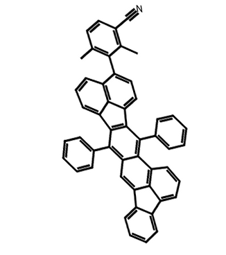 Cc1ccc(C#N)c(C)c1-c1ccc2c3c(-c4ccccc4)c4c(cc5c6ccccc6c6cccc4c65)c(-c4ccccc4)c3c3cccc1c32